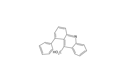 O=C(O)c1c2ccccc2nc2cccc(-c3ccccc3)c12